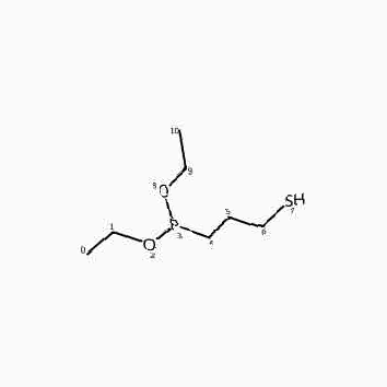 CCOP(CCCS)OCC